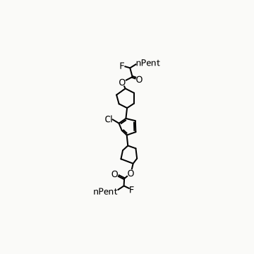 CCCCCC(F)C(=O)OC1CCC(c2ccc(C3CCC(OC(=O)C(F)CCCCC)CC3)c(Cl)c2)CC1